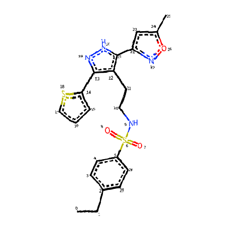 CCc1ccc(S(=O)(=O)NCCc2c(-c3cccs3)n[nH]c2-c2cc(C)on2)cc1